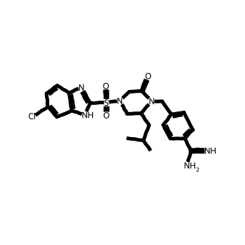 CC(C)CC1CN(S(=O)(=O)c2nc3ccc(Cl)cc3[nH]2)CC(=O)N1Cc1ccc(C(=N)N)cc1